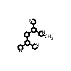 Cc1ccc(-c2cc(-c3cccnc3)cc(-c3cccc(-c4cc(-c5cccnc5)cc(-c5cccnc5)c4)c3)c2)cn1